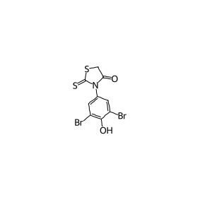 O=C1CSC(=S)N1c1cc(Br)c(O)c(Br)c1